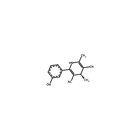 CC1=C(C#N)[C@@H](C)C(C#N)=C(c2cccc(N=O)c2)N1